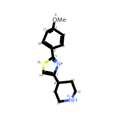 COc1ccc(-c2nc(C3CCNCC3)cs2)cc1